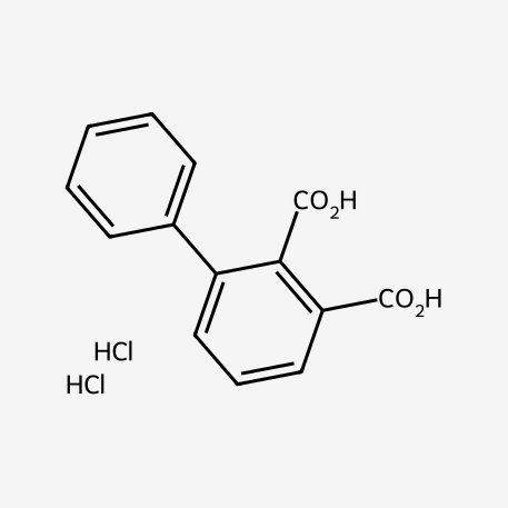 Cl.Cl.O=C(O)c1cccc(-c2ccccc2)c1C(=O)O